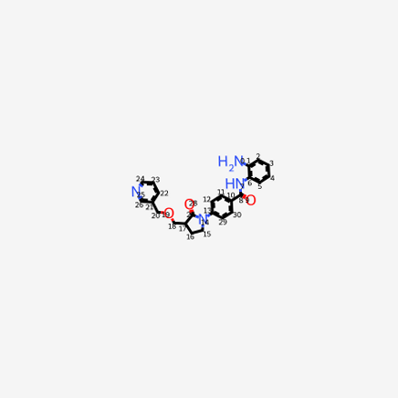 Nc1ccccc1NC(=O)c1ccc(N2CCC(COCc3cccnc3)C2=O)cc1